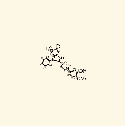 CCc1cc(NC(=O)N2CCN(c3ccc(OC)c(O)c3)CC2)c(Oc2ccccc2)nc1C